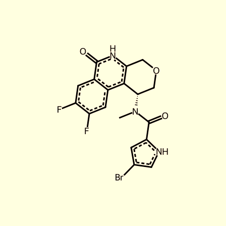 CN(C(=O)c1cc(Br)c[nH]1)[C@H]1COCc2[nH]c(=O)c3cc(F)c(F)cc3c21